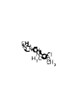 COc1cc(C)c(-c2cn3ccc(N4CCCN(SC)CC4)cc3n2)cc1Cl